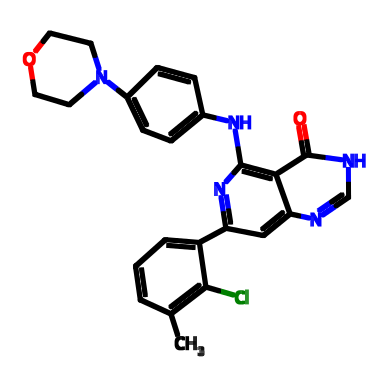 Cc1cccc(-c2cc3nc[nH]c(=O)c3c(Nc3ccc(N4CCOCC4)cc3)n2)c1Cl